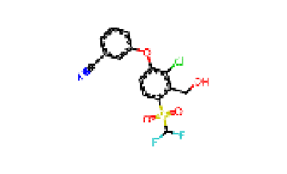 N#Cc1cccc(Oc2ccc(S(=O)(=O)C(F)F)c(CO)c2Cl)c1